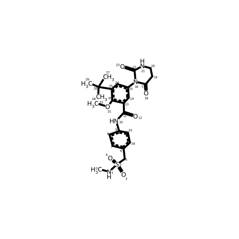 CNS(=O)(=O)Cc1ccc(NC(=O)c2cc(N3C(=O)CCNC3=O)cc(C(C)(C)C)c2OC)cc1